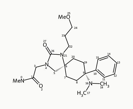 CNC(=O)CN1C[C@]2(CC[C@@](c3ccccc3)(N(C)C)CC2)N(CCCOC)C1=O